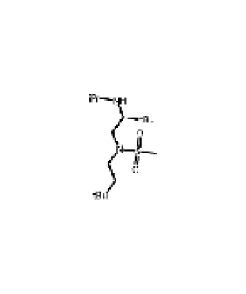 CC(C)N[C@H](CN(CCC(C)(C)C)S(C)(=O)=O)C(C)(C)C